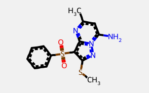 CSc1nn2c(N)cc(C)nc2c1S(=O)(=O)c1ccccc1